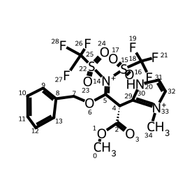 COC(=O)[C@H](C(OCc1ccccc1)=[N+](S(=O)(=O)C(F)(F)F)S(=O)(=O)C(F)(F)F)c1[nH]cc[n+]1C